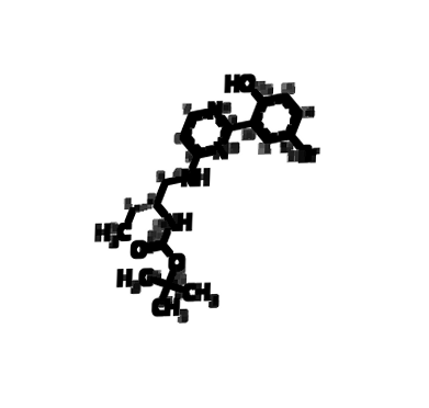 CC[C@H](CNc1ccnc(-c2cc(Br)ccc2O)n1)NC(=O)OC(C)(C)C